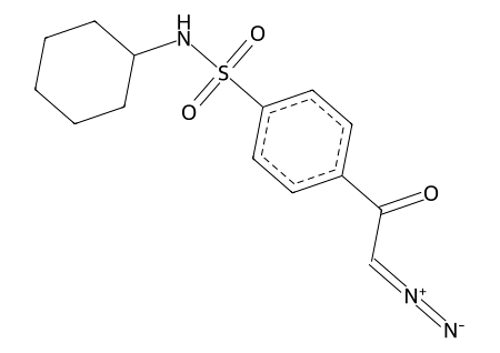 [N-]=[N+]=CC(=O)c1ccc(S(=O)(=O)NC2CCCCC2)cc1